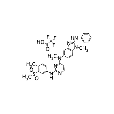 Cc1ccc(Nc2nccc(N(C)c3ccc4c(c3)nc(Nc3ccccc3)n4C)n2)cc1S(C)(=O)=O.O=C(O)C(F)(F)F